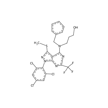 CSc1nn(-c2c(Cl)cc(Cl)cc2Cl)c2nc(C(F)(F)F)nc(N(CCCO)Cc3ccccc3)c12